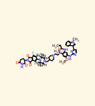 [2H]C1([2H])N(CC2CCN(CCN(C)c3cc(OC)c(Nc4nccc(-c5cn(C)c6ccccc56)n4)cc3NC(=O)C=C)CC2)C([2H])([2H])C([2H])([2H])N(c2c(F)c(F)c3c(c2F)C(=O)N(C2CCC(=O)NC2=O)C3=O)C1([2H])[2H]